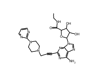 CCNC(=O)C1OC(n2cnc3c(N)nc(C#CCN4CCN(c5ncccn5)CC4)nc32)C(O)C1O